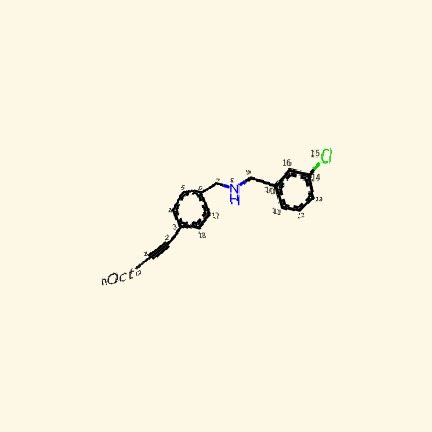 CCCCCCCCC#Cc1ccc(CNCc2cccc(Cl)c2)cc1